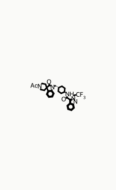 CC(=O)N1CCC2(CC1)C(=O)N(C[C@H]1CC[C@H](NC(=O)c3c4ccccc4nn3CC(F)(F)F)CC1)c1ccccc12